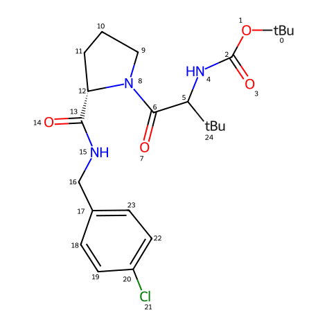 CC(C)(C)OC(=O)NC(C(=O)N1CCC[C@H]1C(=O)NCc1ccc(Cl)cc1)C(C)(C)C